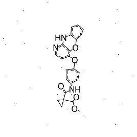 COC(=O)C1(C(=O)Nc2ccc(Oc3ccnc4c3Oc3ccccc3N4)cc2)CC1